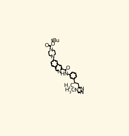 C[C@H](Cc1nncn1C)c1cccc(NC(=O)c2cc3cc(N4CCN(C(=O)OC(C)(C)C)CC4)ccc3cn2)c1